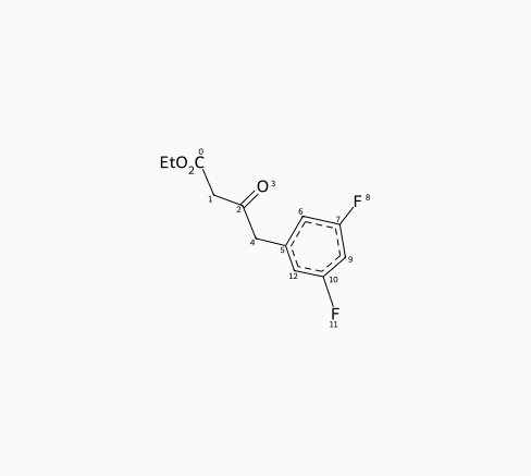 CCOC(=O)CC(=O)Cc1cc(F)cc(F)c1